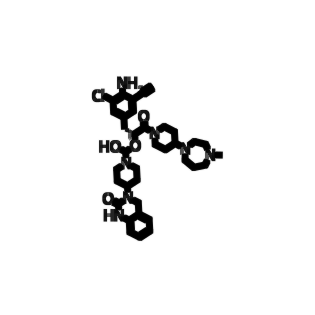 C#Cc1cc(C[C@@H](OC(O)N2CCC(N3Cc4ccccc4NC3=O)CC2)C(=O)N2CCC(N3CCCN(C)CC3)CC2)cc(Cl)c1N